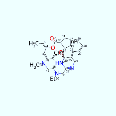 C=C/C(=C\C(=C/C)OC(=O)C1CCCC1)N(C)CCN(CC)CC1=NC/C(=C\C=C/CCC)C(=O)N1